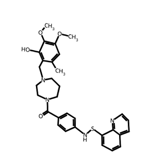 COc1cc(C)c(CN2CCCN(C(=O)c3ccc(NSc4cccc5cccnc45)cc3)CC2)c(O)c1OC